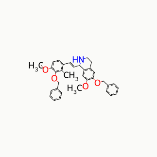 COc1cc2c(cc1OCc1ccccc1)CCNC2C=Cc1ccc(OC)c(OCc2ccccc2)c1C